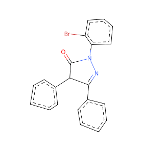 O=C1C(c2ccccc2)C(c2ccccc2)=NN1c1ccccc1Br